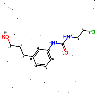 O=C(NCCCl)Nc1cccc(CCCO)c1